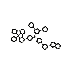 c1ccc(-c2cc(-c3ccccc3)cc(N(c3ccc(-c4cccc(-c5ccc6ccccc6c5)c4)cc3)c3ccc(-c4cccc5c4-c4ccccc4C5(c4ccccc4)c4ccccc4)cc3)c2)cc1